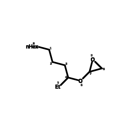 CCCCCCCCCC(CC)OC1CO1